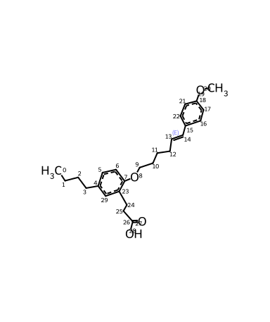 CCCCc1ccc(OCCCC/C=C/c2ccc(OC)cc2)c(CCC(=O)O)c1